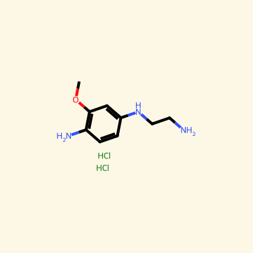 COc1cc(NCCN)ccc1N.Cl.Cl